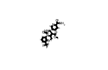 COC(=O)C1=C(CBr)N(c2cccc(C(F)(F)F)c2)C(=O)N[C@@H]1c1ccc(C(N)=O)nc1